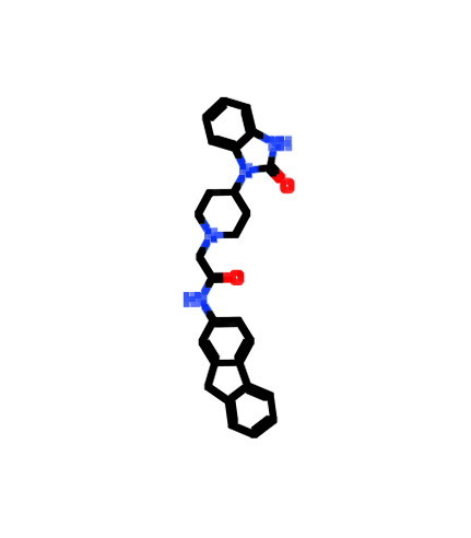 O=C(CN1CCC(n2c(=O)[nH]c3ccccc32)CC1)Nc1ccc2c(c1)Cc1ccccc1-2